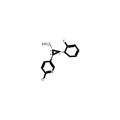 CCOC(=O)[C@H]1[C@H](c2ccc(Cl)nc2)[C@H]1C1CC=CC=C1F